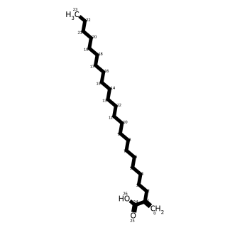 C=C(CCCCCCCCCCCCCCCCCCCCCC)C(=O)O